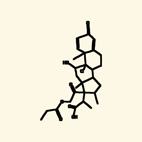 CCC(=O)OCC(=O)C1(C(C)C(=O)O)C(C)CC2C3CCC4=CC(=O)C=CC4(C)C3(Cl)C(O)CC21C